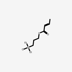 CC=CC(=O)OCCC[Si](Cl)(CC)CC